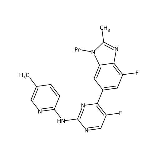 Cc1ccc(Nc2ncc(F)c(-c3cc(F)c4nc(C)n(C(C)C)c4c3)n2)nc1